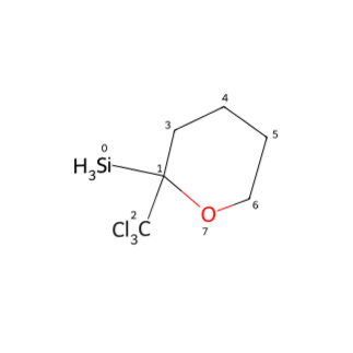 [SiH3]C1(C(Cl)(Cl)Cl)CCCCO1